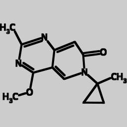 COc1nc(C)nc2cc(=O)n(C3(C)CC3)cc12